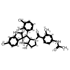 CC(=O)Nc1ccc(C(=O)N2CC[C@@H]3N[C@@]4(C(=O)Nc5cc(Cl)ccc54)[C@@H](c4cccc(Cl)c4F)C32)c(C)c1